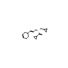 C=C(C1CC1)N(C/C=C/C1CC=CCC1)CC1CC1